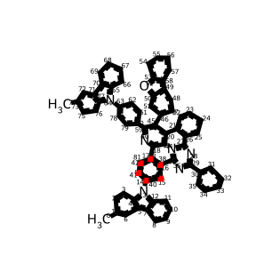 Cc1ccc2c(c1)c1ccccc1n2-c1ccc(-c2cc(-c3ccccc3-c3nc(-c4ccccc4)nc(-c4ccccc4)n3)c(-c3ccc4c(c3)oc3ccccc34)c(-c3ccc(-n4c5ccccc5c5cc(C)ccc54)cc3)n2)cc1